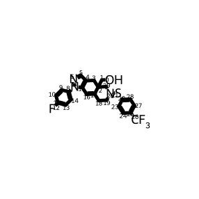 OCC12Cc3cnn(-c4ccc(F)cc4)c3C=C1CCN(Sc1ccc(C(F)(F)F)cc1)C2